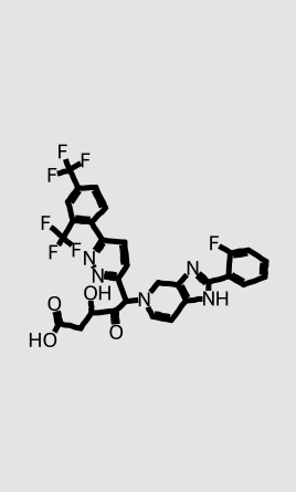 O=C(O)CC(O)C(=O)C(c1ccc(-c2ccc(C(F)(F)F)cc2C(F)(F)F)nn1)N1C=Cc2[nH]c(-c3ccccc3F)nc2C1